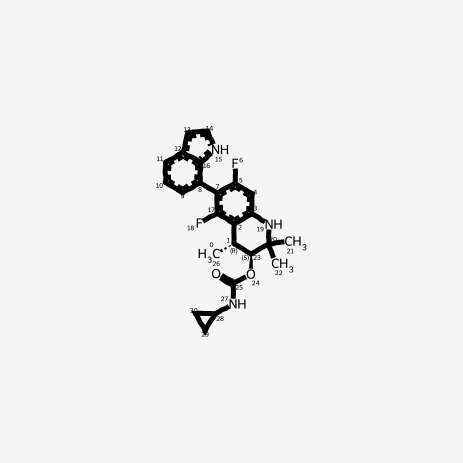 C[C@@H]1c2c(cc(F)c(-c3cccc4cc[nH]c34)c2F)NC(C)(C)[C@H]1OC(=O)NC1CC1